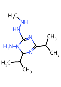 CNNC1=NC(C(C)C)=NC(C(C)C)N1N